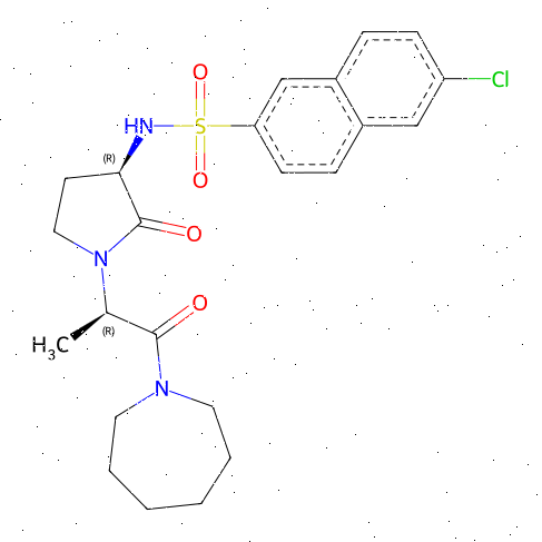 C[C@H](C(=O)N1CCCCCC1)N1CC[C@@H](NS(=O)(=O)c2ccc3cc(Cl)ccc3c2)C1=O